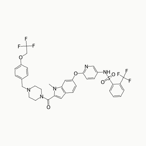 Cn1c(C(=O)N2CCN(Cc3ccc(OCC(F)(F)F)cc3)CC2)cc2ccc(Oc3ccc(NS(=O)(=O)c4ccccc4C(F)(F)F)cn3)cc21